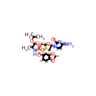 CC(C)OC(=O)[C@H](C)N[P@](=O)(OC[C@H]1O[C@@H](n2ccc(N)nc2=O)CS1)Oc1ccc2c(c1)OCO2